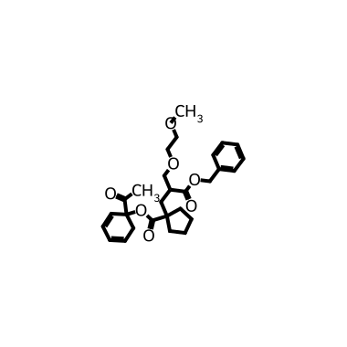 COCCOCC(CC1(C(=O)OC2(C(C)=O)C=CC=CC2)CCCC1)C(=O)OCc1ccccc1